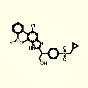 CCOc1ccccc1-c1c(Cl)cc2nc(C(CO)c3ccc(S(=O)(=O)CC4CC4)cc3)[nH]c2c1Cl